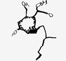 CCCC(C)Cc1cc(O)cc(O)c1C(=O)O